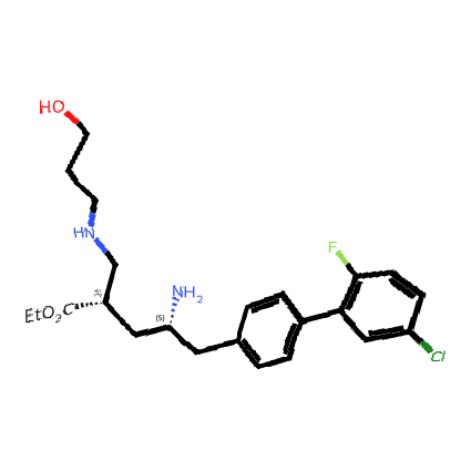 CCOC(=O)[C@H](CNCCCO)C[C@H](N)Cc1ccc(-c2cc(Cl)ccc2F)cc1